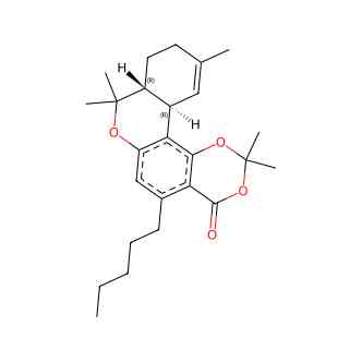 CCCCCc1cc2c(c3c1C(=O)OC(C)(C)O3)[C@@H]1C=C(C)CC[C@H]1C(C)(C)O2